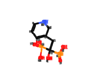 O=[PH](O)C(O)(CC1=CC=CNC1)P(=O)(O)O